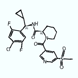 CS(=O)(=O)c1cncc(C(=O)N2CCCC[C@@H]2C(=O)N[C@@H](c2cc(F)c(Cl)cc2F)C2CC2)c1